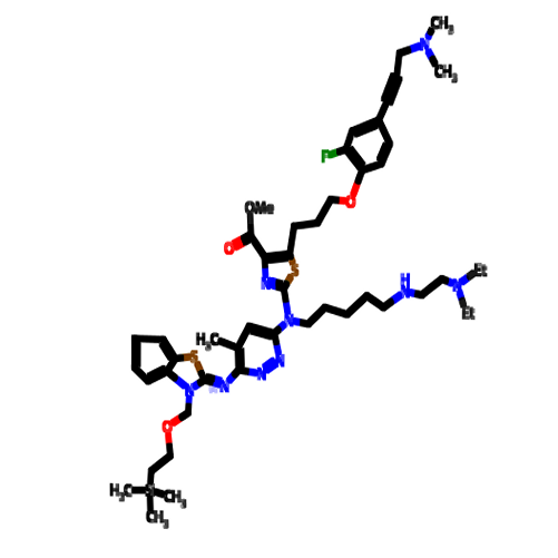 CCN(CC)CCNCCCCCN(c1cc(C)c(/N=c2\sc3ccccc3n2COCC[Si](C)(C)C)nn1)c1nc(C(=O)OC)c(CCCOc2ccc(C#CCN(C)C)cc2F)s1